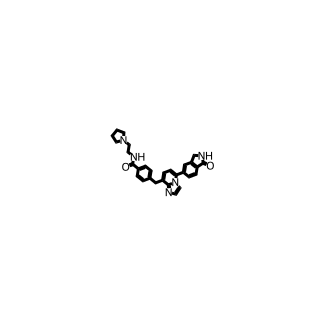 O=C(NCCN1CCCC1)c1ccc(Cc2ccc(-c3ccc4c(c3)CNC4=O)n3ccnc23)cc1